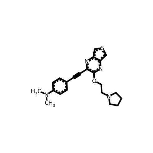 CN(C)c1ccc(C#Cc2nc3cscc3nc2OCCN2CCCC2)cc1